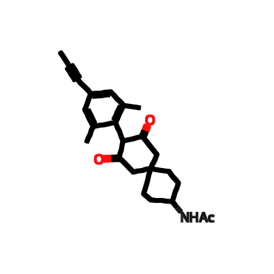 CC#Cc1cc(C)c(C2C(=O)CC3(CCC(NC(C)=O)CC3)CC2=O)c(C)c1